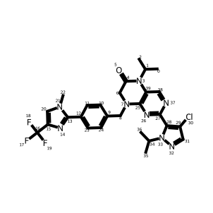 CC(C)N1C(=O)CN(Cc2ccc(-c3nc(C(F)(F)F)cn3C)cc2)c2nc(-c3c(Cl)cnn3C(C)C)ncc21